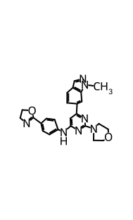 Cn1ncc2ccc(-c3cc(Nc4ccc(C5=NCCO5)cc4)nc(N4CCOCC4)n3)cc21